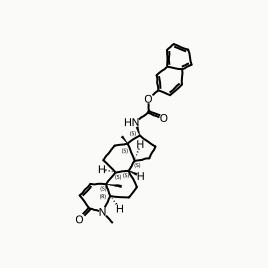 CN1C(=O)C=C[C@]2(C)[C@H]3CC[C@]4(C)[C@@H](NC(=O)Oc5ccc6ccccc6c5)CC[C@H]4[C@@H]3CC[C@@H]12